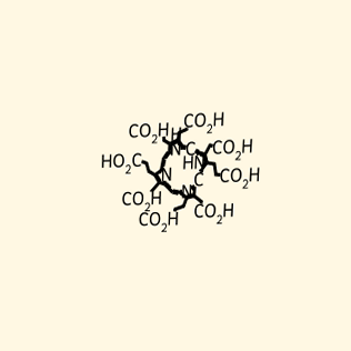 O=C(O)CCC1=C(CC(=O)O)c2cc3nc(cc4[nH]c(cc5[nH]c(cc1n2)c(CC(=O)O)c5CCC(=O)O)c(CC(=O)O)c4CCC(=O)O)C(CC(=O)O)=C3CCC(=O)O